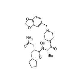 CC(C)(C)[C@@H](C(=O)N1CCN(Cc2ccc3c(c2)OCO3)CC1)N(O)C(=O)[C@@H](CC(N)=O)CC1CCCC1